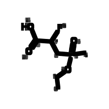 CCOP(C)(=O)CC(F)C(=O)O